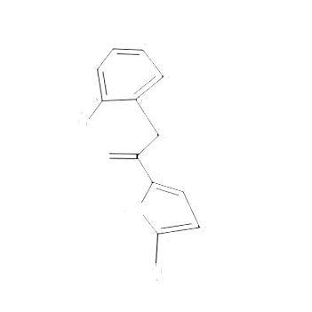 O=C(Cc1ccccc1Cl)c1ccc(Cl)s1